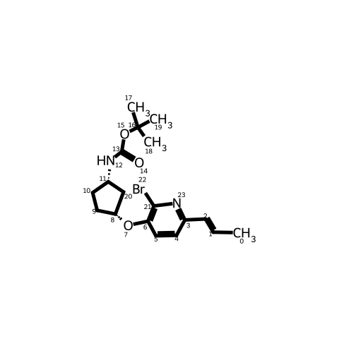 C/C=C/c1ccc(O[C@@H]2CC[C@H](NC(=O)OC(C)(C)C)C2)c(Br)n1